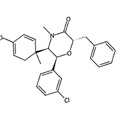 CN1C(=O)[C@H](Cc2ccccc2)O[C@@H](c2cccc(Cl)c2)[C@H]1C1(C)C=CC(Cl)=CC1